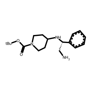 CC(C)(C)OC(=O)N1CCC(N[C@@H](CN)c2ccccc2)CC1